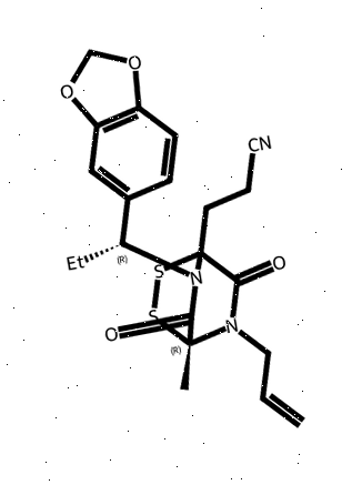 C=CCN1C(=O)C2(CCC#N)SS[C@]1(C)C(=O)N2[C@H](CC)c1ccc2c(c1)OCO2